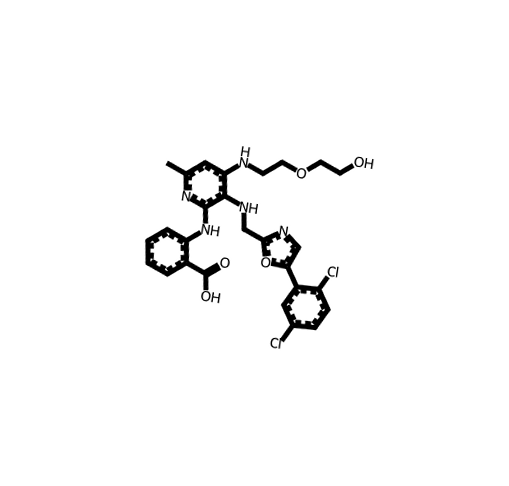 Cc1cc(NCCOCCO)c(NCc2ncc(-c3cc(Cl)ccc3Cl)o2)c(Nc2ccccc2C(=O)O)n1